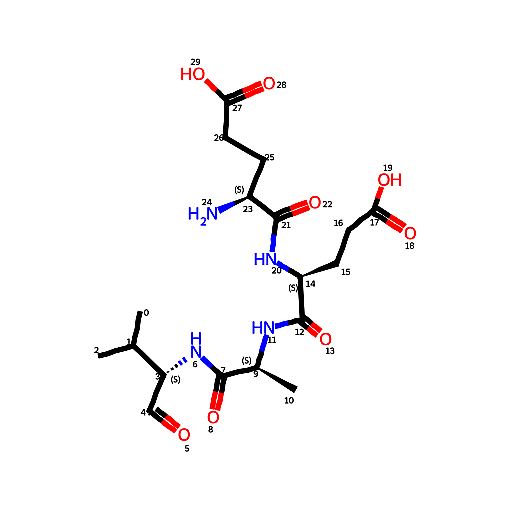 CC(C)[C@@H]([C]=O)NC(=O)[C@H](C)NC(=O)[C@H](CCC(=O)O)NC(=O)[C@@H](N)CCC(=O)O